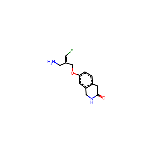 NC/C(=C/F)COc1ccc2c(c1)CNC(=O)C2